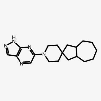 c1nc2cn[nH]c2nc1N1CCC2(CC1)CC1CCCCCC1C2